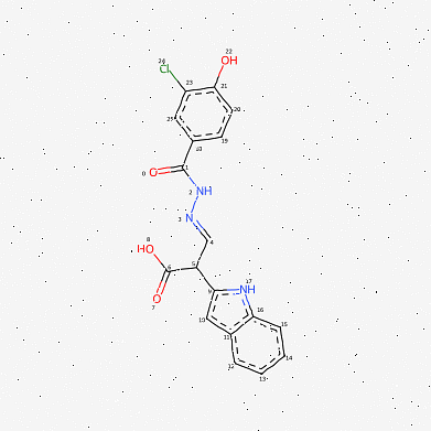 O=C(NN=CC(C(=O)O)c1cc2ccccc2[nH]1)c1ccc(O)c(Cl)c1